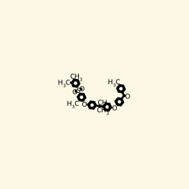 Cc1ccc(C(=O)c2ccc(Oc3ccc(C(C)(C)c4ccc(Oc5ccc(S(=O)(=O)c6ccc(C)c(C)c6)cc5C)cc4)cc3)cc2)cc1